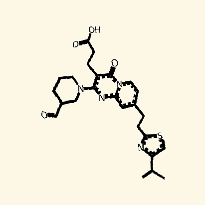 CC(C)c1csc(CCc2ccn3c(=O)c(CCC(=O)O)c(N4CCCC(C=O)C4)nc3c2)n1